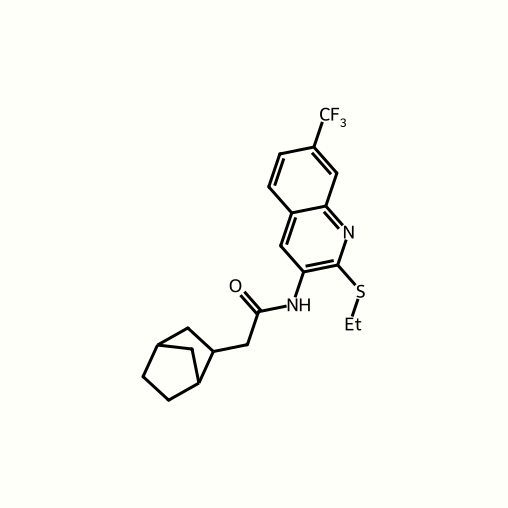 CCSc1nc2cc(C(F)(F)F)ccc2cc1NC(=O)CC1CC2CCC1C2